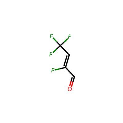 O=CC(F)=CC(F)(F)F